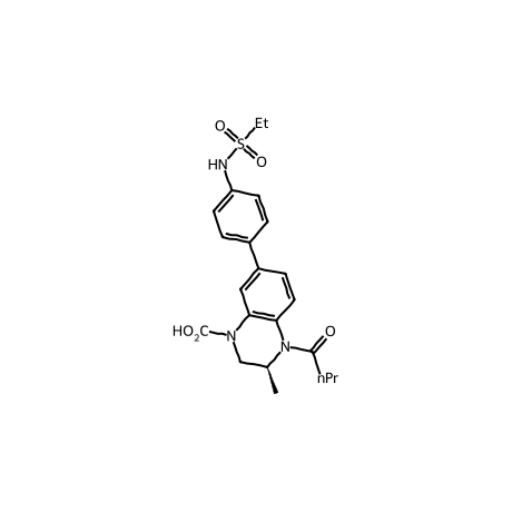 CCCC(=O)N1c2ccc(-c3ccc(NS(=O)(=O)CC)cc3)cc2N(C(=O)O)C[C@@H]1C